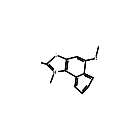 COc1cc2sc(C)[n+](C)c2c2ccccc12